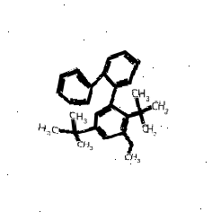 CCc1cc(C(C)(C)C)cc(-c2ccccc2-c2ccccc2)c1C(C)(C)C